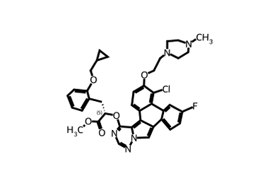 COC(=O)[C@H](Cc1ccccc1OCC1CC1)Oc1ncnn2cc3c4ccc(F)cc4c4c(Cl)c(OCCN5CCN(C)CC5)ccc4c3c12